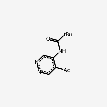 CC(=O)c1cnncc1NC(=O)C(C)(C)C